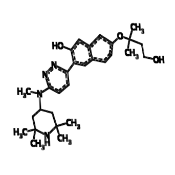 CN(c1ccc(-c2cc3ccc(OC(C)(C)CCO)cc3cc2O)nn1)C1CC(C)(C)NC(C)(C)C1